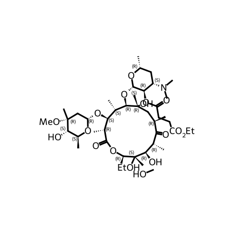 CCOC(=O)CCC(=O)O[C@H]1[C@H](O[C@@H]2[C@@H](C)[C@H](O[C@H]3C[C@@](C)(OC)[C@@H](O)[C@H](C)O3)[C@@H](C)C(=O)O[C@H](CC)[C@@](C)(O)[C@H](O)[C@@H](C)C(=O)[C@H](C)C[C@@]2(C)O)O[C@H](C)C[C@@H]1N(C)C.CO